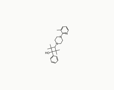 Cc1cccnc1N1CCN(C2C(C)(C)C(O)(c3ccccc3)C2(C)C)CC1